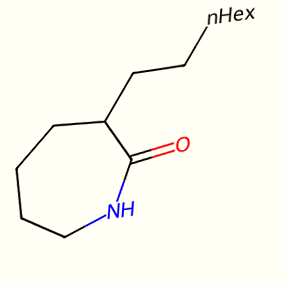 CCCCCCCCC1CCCCNC1=O